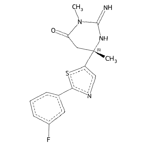 CN1C(=N)N[C@](C)(c2cnc(-c3cccc(F)c3)s2)CC1=O